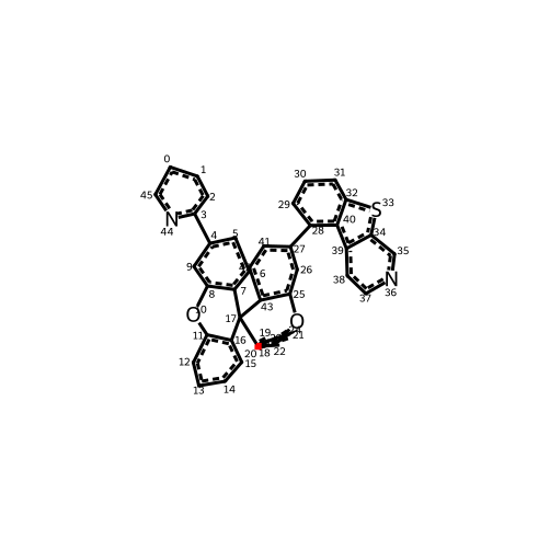 c1ccc(-c2ccc3c(c2)Oc2ccccc2C32c3ccccc3Oc3cc(-c4cccc5sc6cnccc6c45)ccc32)nc1